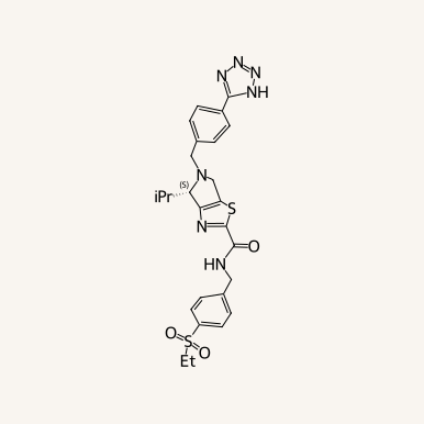 CCS(=O)(=O)c1ccc(CNC(=O)c2nc3c(s2)CN(Cc2ccc(-c4nnn[nH]4)cc2)[C@H]3C(C)C)cc1